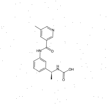 Cc1cncc(C(=O)Nc2cccc([C@H](C)NC(=O)O)c2)c1